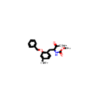 COC(=O)C(Cc1ccc(OC)cc1OCc1ccccc1)NC(=O)OC(C)(C)C